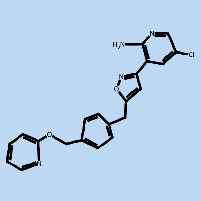 Nc1ncc(Cl)cc1-c1cc(Cc2ccc(COc3ccccn3)cc2)on1